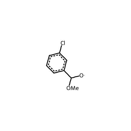 COC([O])c1cccc(Cl)c1